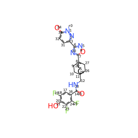 Cn1nc(-c2noc(C34CCC(CNC(=O)c5cc(F)c(O)c(F)c5F)(CC3)CC4)n2)ccc1=O